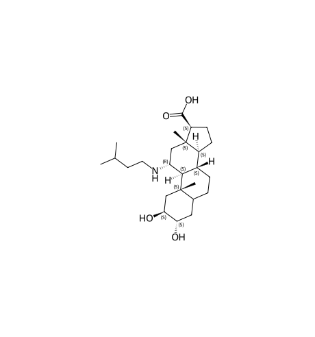 CC(C)CCN[C@@H]1C[C@]2(C)[C@@H](C(=O)O)CC[C@H]2[C@@H]2CCC3C[C@H](O)[C@@H](O)C[C@]3(C)[C@H]21